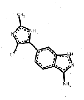 Cc1nc(Cl)c(-c2ccc3c(N)n[nH]c3c2)[nH]1